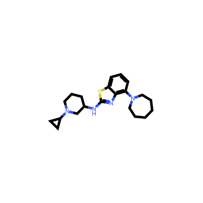 c1cc(N2CCCCCC2)c2nc(NC3CCCN(C4CC4)C3)sc2c1